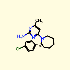 Cc1cc(N2CCCCC[C@@H]2c2ccc(Cl)cc2)nc(N)n1